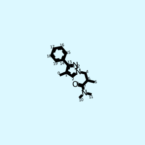 Cc1cn(CC(C)C(=O)N(C)C)nc1-c1ccccc1